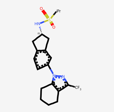 CC(C)S(=O)(=O)N[C@H]1Cc2ccc(-n3nc(C(F)(F)F)c4c3CCCC4)cc2C1